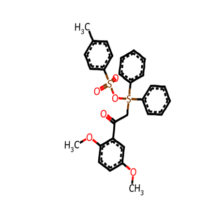 COc1ccc(OC)c(C(=O)CS(OS(=O)(=O)c2ccc(C)cc2)(c2ccccc2)c2ccccc2)c1